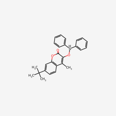 Cc1c(O[SiH](c2ccccc2)c2ccccc2)c(=O)oc2cc(C(C)(C)C)ccc12